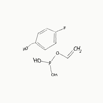 C=COP(O)O.Oc1ccc(F)cc1